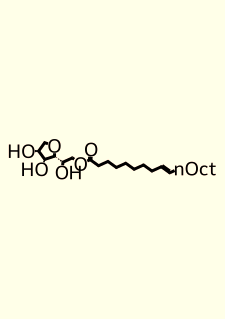 CCCCCCCC/C=C/CCCCCCCC(=O)OCC(O)[C@H]1OC[C@H](O)[C@H]1O